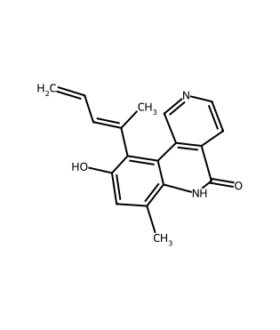 C=C/C=C(\C)c1c(O)cc(C)c2[nH]c(=O)c3ccncc3c12